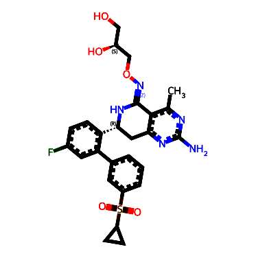 Cc1nc(N)nc2c1/C(=N/OC[C@@H](O)CO)N[C@@H](c1ccc(F)cc1-c1cccc(S(=O)(=O)C3CC3)c1)C2